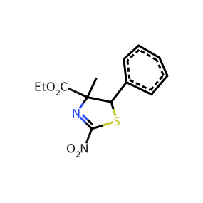 CCOC(=O)C1(C)N=C([N+](=O)[O-])SC1c1ccccc1